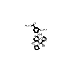 CC[C@H](c1nnco1)N(c1nc(Nc2ccc(C(=O)OC)cc2OC)ncc1O)C1CCCC1